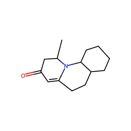 CC1CC(=O)C=C2CCC3CCCCC3N21